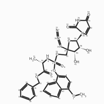 COc1ccc(OP(=O)(N[C@@H](C)C(=O)OCc2ccccc2)OC[C@@]2(N=[N+]=[N-])O[C@@H](n3ccc(=O)[nH]c3=O)[C@H](O)[C@@H]2O)c2ccccc12